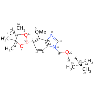 COc1c(B2OC(C)(C)C(C)(C)O2)ccc2c1ncn2COCC[Si](C)(C)C